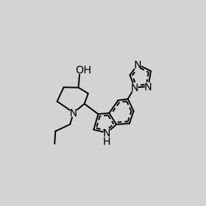 CCCN1CCC(O)CC1c1c[nH]c2ccc(-n3cncn3)cc12